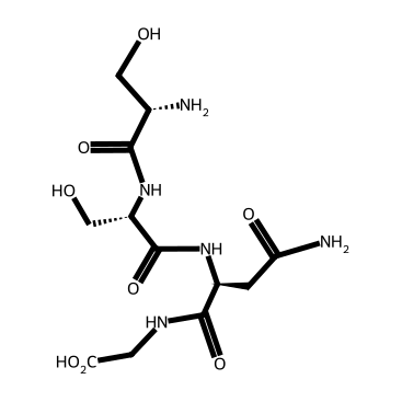 NC(=O)C[C@H](NC(=O)[C@H](CO)NC(=O)[C@@H](N)CO)C(=O)NCC(=O)O